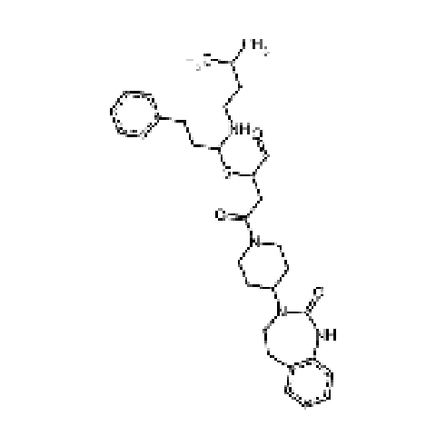 CC(C)CCNC(CCc1ccccc1)SC(C=O)CC(=O)N1CCC(N2CCc3ccccc3NC2=O)CC1